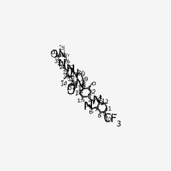 Cc1cc(-c2ncc3cc(C(F)(F)F)ccc3n2)ccc1N1CCn2nc(CN3CCN(C)C(=O)C3)c(C)c2C1=O